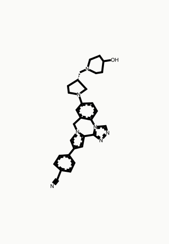 N#Cc1ccc(-c2cc3n(c2)Cc2cc(N4CC[C@H](CN5CCC(O)CC5)C4)ccc2-n2cnnc2-3)cc1